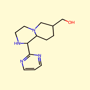 OCC1CCC2C(c3ncccn3)NCCN2C1